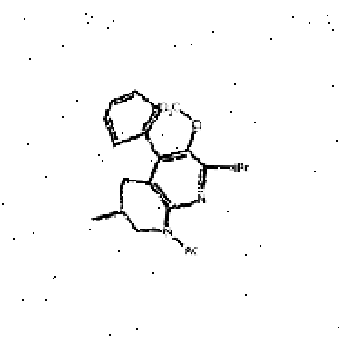 CC(=O)N1CC(C)Cc2c1nc(C(C)C)c(OC(=O)O)c2-c1ccccc1